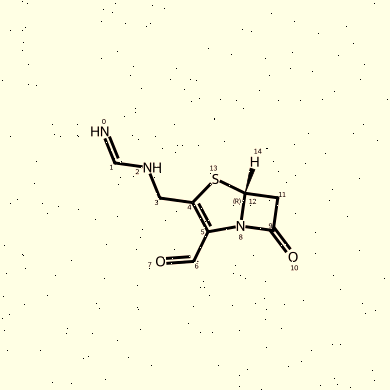 N=CNCC1=C([C]=O)N2C(=O)C[C@H]2S1